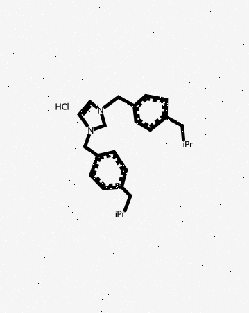 CC(C)Cc1ccc(CN2C=CN(Cc3ccc(CC(C)C)cc3)C2)cc1.Cl